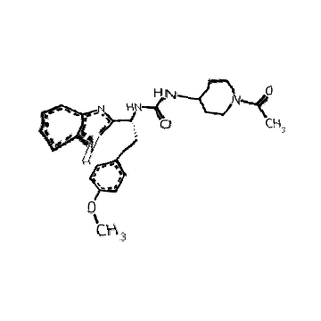 COc1ccc(C[C@@H](NC(=O)NC2CCN(C(C)=O)CC2)c2nc3ccccc3[nH]2)cc1